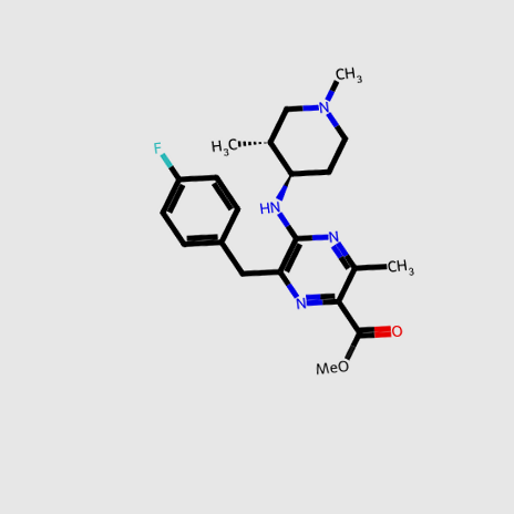 COC(=O)c1nc(Cc2ccc(F)cc2)c(N[C@@H]2CCN(C)C[C@H]2C)nc1C